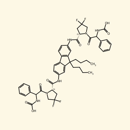 CCCCC1(CCCC)c2cc(NC(=O)[C@@H]3CC(F)(F)CN3C(=O)C(NC(=O)O)c3ccccc3)ccc2-c2ccc(NC(=O)[C@@H]3CC(F)(F)CN3C(=O)C(NC(=O)O)c3ccccc3)cc21